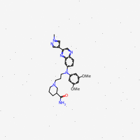 COc1cc(OC)cc(N(CCCN2CCCC(C(N)=O)C2)c2ccc3ncc(-c4cnn(C)c4)nc3c2)c1